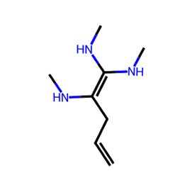 C=CCC(NC)=C(NC)NC